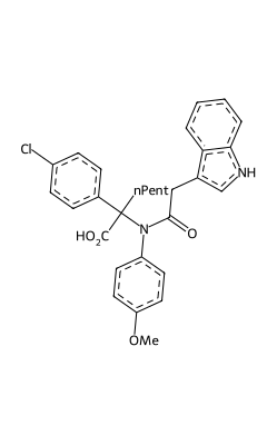 CCCCCC(C(=O)O)(c1ccc(Cl)cc1)N(C(=O)Cc1c[nH]c2ccccc12)c1ccc(OC)cc1